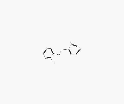 Bc1ccccc1CCc1ccccc1B